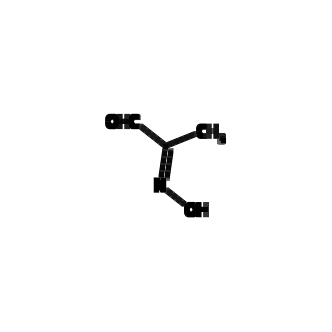 C/C(C=O)=N\O